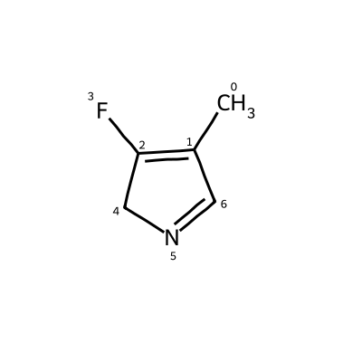 CC1=C(F)CN=C1